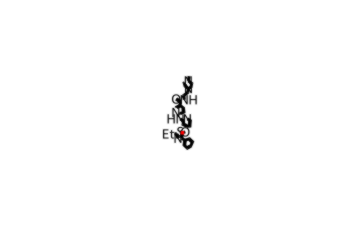 CCc1nc(-c2ccccc2)c(Oc2ccnc(Nc3ccc(C(=O)NCCN4CCN(C)CC4)cn3)c2)s1